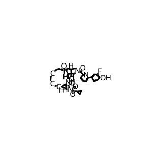 O=C1N[C@]2(C(=O)NS(=O)(=O)C3CC3)C[C@H]2CCCCCCCCC(=O)N2C[C@@H]3CN(C(=O)c4cccc(-c5ccc(O)c(F)c5)n4)C[C@@H]3[C@@H]12